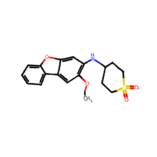 COc1cc2c(cc1NC1CCS(=O)(=O)CC1)oc1ccccc12